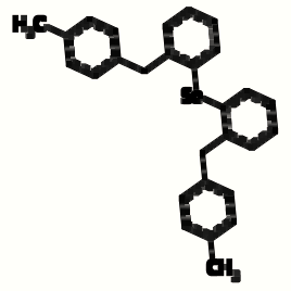 Cc1ccc(Cc2ccccc2[Se]c2ccccc2Cc2ccc(C)cc2)cc1